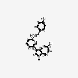 Clc1ccc(CNc2cccc(-c3c[nH]c4ncc(Cl)nc34)n2)cc1